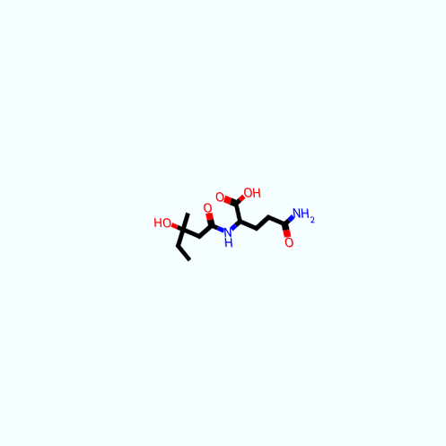 CCC(C)(O)CC(=O)NC(CCC(N)=O)C(=O)O